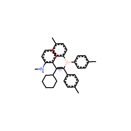 Cc1ccc(B(/C(=C(\c2ccccc2N(C)C)C2CCCCC2)c2ccc(C)cc2)c2ccc(C)cc2)cc1